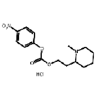 CN1CCCCC1CCOC(=O)Oc1ccc([N+](=O)[O-])cc1.Cl